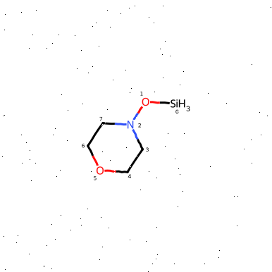 [SiH3]ON1CCOCC1